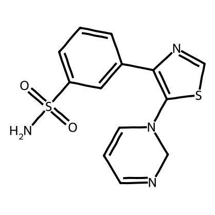 NS(=O)(=O)c1cccc(-c2ncsc2N2C=CC=NC2)c1